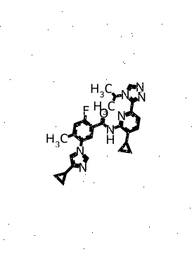 Cc1cc(F)c(C(=O)Nc2nc(-c3nncn3C(C)C)ccc2C2CC2)cc1-n1cnc(C2CC2)c1